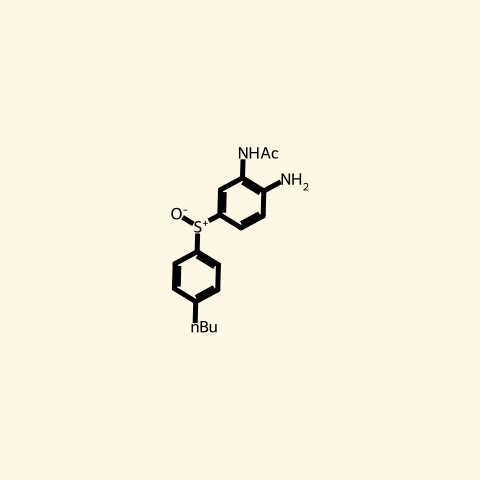 CCCCc1ccc([S+]([O-])c2ccc(N)c(NC(C)=O)c2)cc1